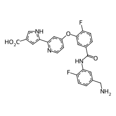 NCc1ccc(F)c(NC(=O)c2ccc(F)c(Oc3ccnc(-c4cc(C(=O)O)c[nH]4)c3)c2)c1